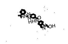 CC(C)c1ccccc1Nc1nc2c([nH]1)C=C(C(=O)Nc1ccc3c(cnn3CCO)c1)CC2